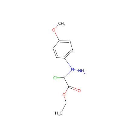 CCOC(=O)C(Cl)N(N)c1ccc(OC)cc1